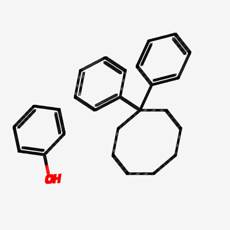 Oc1ccccc1.c1ccc(C2(c3ccccc3)CCCCCCC2)cc1